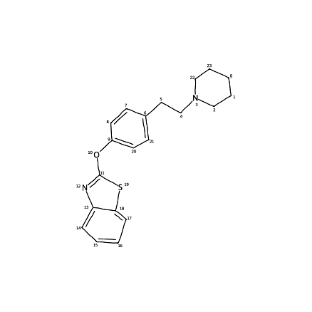 [CH]1CCN(CCc2ccc(Oc3nc4ccccc4s3)cc2)CC1